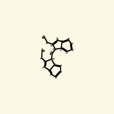 SCc1nc2ccccc2[n]1[Zn][n]1c(CS)nc2ccccc21